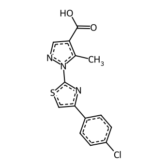 Cc1c(C(=O)O)cnn1-c1nc(-c2ccc(Cl)cc2)cs1